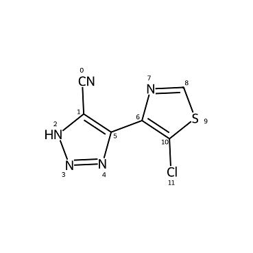 N#Cc1[nH]nnc1-c1ncsc1Cl